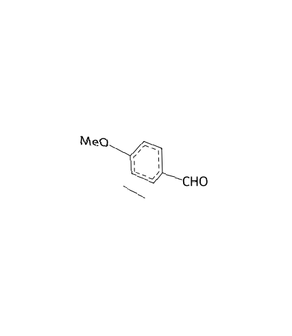 CC.COc1ccc(C=O)cc1